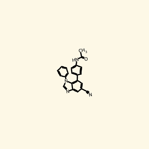 CC(=O)Nc1ccc(-c2cc(C#N)cc3ncn(-c4ccccc4)c23)cc1